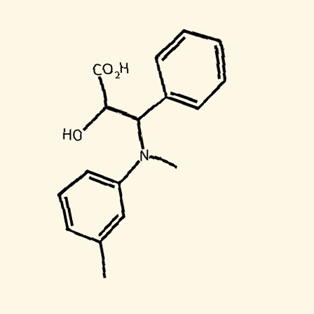 Cc1cccc(N(C)C(c2ccccc2)C(O)C(=O)O)c1